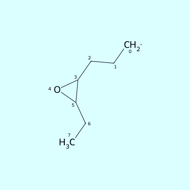 [CH2]CCC1OC1CC